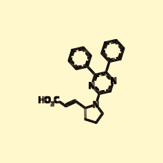 O=C(O)C=CC1CCCN1c1cnc(-c2ccccc2)c(-c2ccccc2)n1